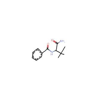 CC(C)(C)C(NC(=O)c1ccccc1)C(N)=O